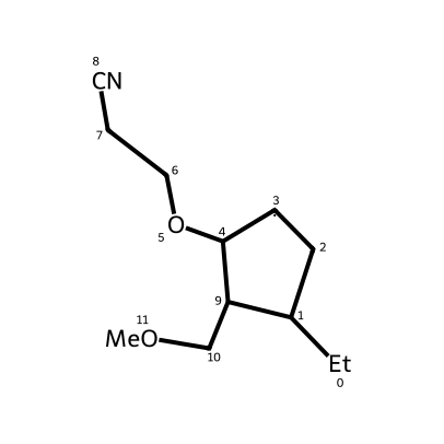 [CH2]CC1C[CH]C(OCCC#N)C1COC